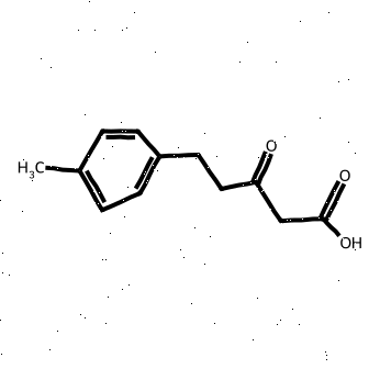 Cc1ccc(CCC(=O)CC(=O)O)cc1